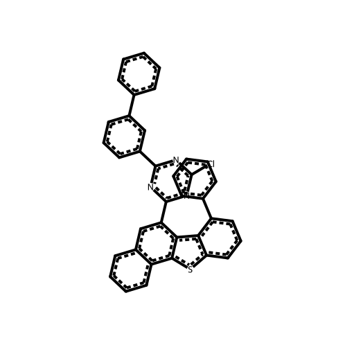 Clc1nc(-c2cccc(-c3ccccc3)c2)nc(-c2cc3ccccc3c3sc4cccc(-c5ccccc5)c4c23)n1